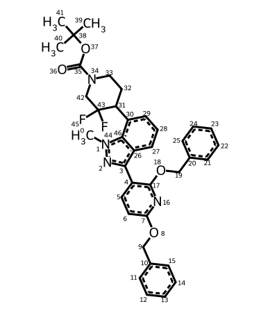 Cn1nc(-c2ccc(OCc3ccccc3)nc2OCc2ccccc2)c2cccc(C3CCN(C(=O)OC(C)(C)C)CC3(F)F)c21